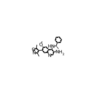 COc1cc2c(N[C@H](C)c3ccccc3)c(N)cnc2cc1-c1c(C)noc1C